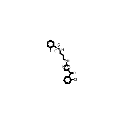 O=C(c1cnc(NCCCNS(=O)(=O)c2ccccc2F)s1)c1ccccc1Cl